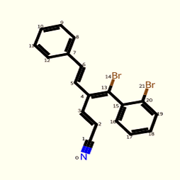 N#CC=CC(C=Cc1ccccc1)=C(Br)c1ccccc1Br